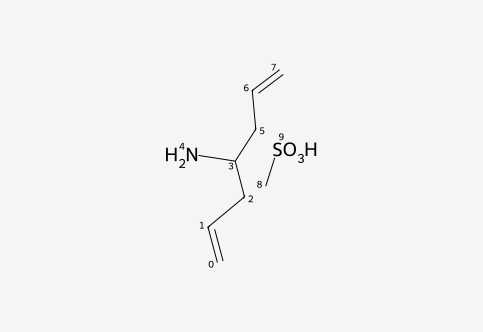 C=CCC(N)CC=C.CS(=O)(=O)O